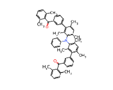 Cc1cccc(C)c1C(=O)c1cccc(-c2c(C)cc(C)c(N(c3ccccc3)c3c(C)cc(C)c(-c4cccc(C(=O)c5c(C)cccc5C)c4)c3C)c2C)c1